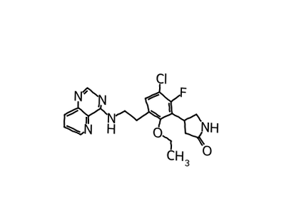 CCOc1c(CCNc2ncnc3cccnc23)cc(Cl)c(F)c1C1CNC(=O)C1